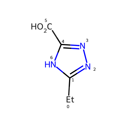 CCc1nnc(C(=O)O)[nH]1